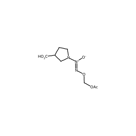 CC(=O)OCON=[N+]([O-])N1CCC(C(=O)O)C1